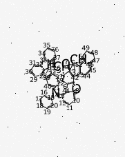 CC1(C)c2ccc3c(oc4cccc(N(c5ccccc5)c5ccc(C6(C)c7ccccc7-c7ccccc76)cc5)c43)c2-c2ccc3ccccc3c21